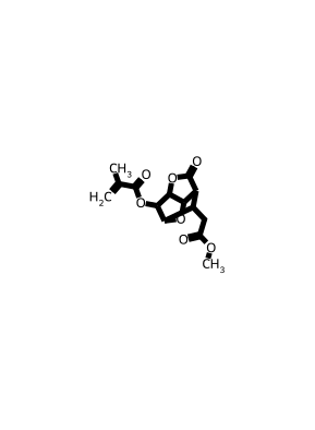 C=C(C)C(=O)OC1C2OC3C1OC(=O)C3C2CC(=O)OC